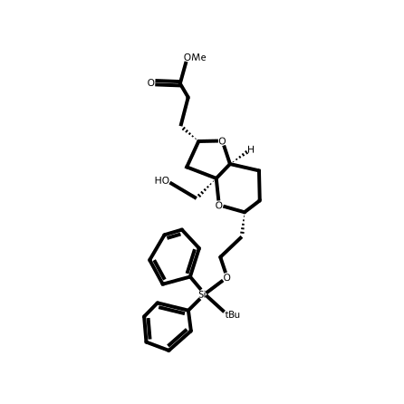 COC(=O)CC[C@H]1C[C@]2(CO)O[C@@H](CCO[Si](c3ccccc3)(c3ccccc3)C(C)(C)C)CC[C@@H]2O1